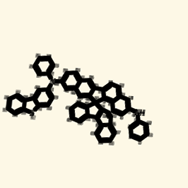 c1ccc(Nc2ccc3c4c(ccc3c2)-c2cc3ccc(N(c5ccccc5)c5ccc6sc7ccccc7c6c5)cc3cc2C42c3ccccc3-c3c2ccc2ccccc32)cc1